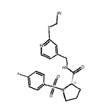 CC(C)CSc1cc(CNC(=O)[C@@H]2CCCN2S(=O)(=O)c2ccc(F)cc2)ccn1